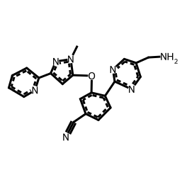 Cn1nc(-c2ccccn2)cc1Oc1cc(C#N)ccc1-c1ncc(CN)cn1